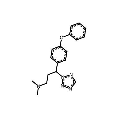 CN(C)CCC(c1ccc(Oc2ccccc2)cc1)n1ncnn1